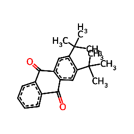 CC(C)(C)c1cc2c(cc1C(C)(C)C)C(=O)c1ccccc1C2=O